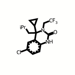 CC(C)CC1(C2CC2)c2cc(Cl)ccc2NC(=O)N1CC(F)(F)F